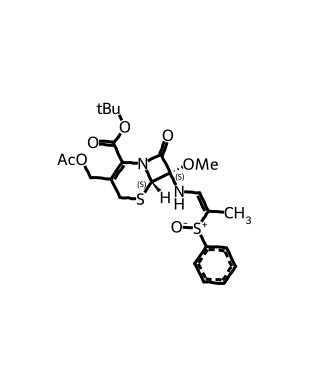 CO[C@@]1(NC=C(C)[S+]([O-])c2ccccc2)C(=O)N2C(C(=O)OC(C)(C)C)=C(COC(C)=O)CS[C@H]21